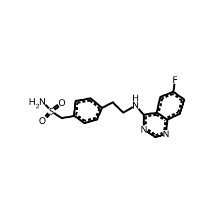 NS(=O)(=O)Cc1ccc(CCNc2ncnc3ccc(F)cc23)cc1